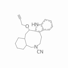 C#CCOC1CC2CCCCC2CN(C#N)CCc2c1[nH]c1ccccc21